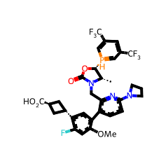 COc1cc(F)c([C@H]2C[C@H](C(=O)O)C2)cc1-c1ccc(N2CCC2)nc1CN1C(=O)O[C@H]([PH]2=CC(C(F)(F)F)=CC(C(F)(F)F)=C2)[C@@H]1C